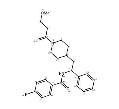 COCCC(=O)N1CCC(CC(NC(=O)c2ccc(F)cc2)c2ccccc2)CC1